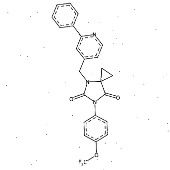 O=C1N(c2ccc(OC(F)(F)F)cc2)C(=O)C2(CC2)N1Cc1ccnc(-c2ccccc2)c1